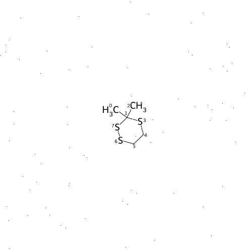 CC1(C)SCCSS1